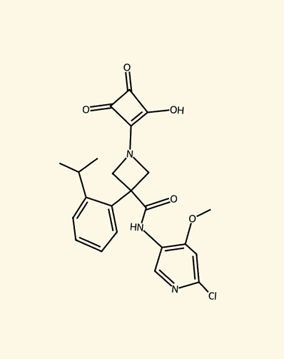 COc1cc(Cl)ncc1NC(=O)C1(c2ccccc2C(C)C)CN(c2c(O)c(=O)c2=O)C1